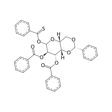 O=C(O[C@H]1[C@H]2O[C@@H](c3ccccc3)OC[C@H]2OC(OC(=S)c2ccccc2)[C@@H]1OC(=O)c1ccccc1)c1ccccc1